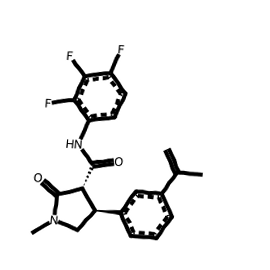 C=C(C)c1cccc([C@H]2CN(C)C(=O)[C@@H]2C(=O)Nc2ccc(F)c(F)c2F)c1